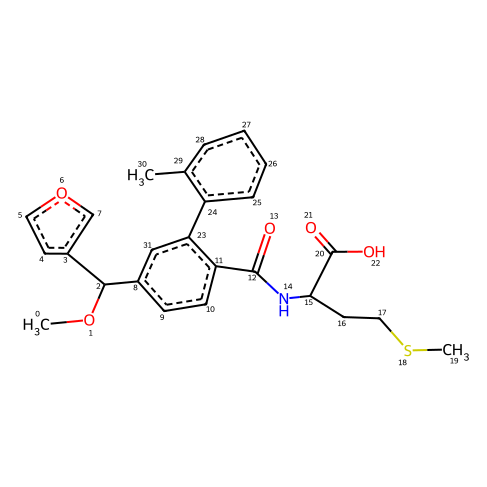 COC(c1ccoc1)c1ccc(C(=O)NC(CCSC)C(=O)O)c(-c2ccccc2C)c1